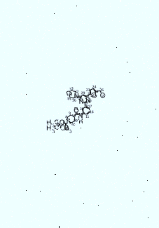 CC(C)(C)OC(=O)N1CCC(C(=O)Nc2cccc(-c3nc(-c4ccc(C=O)o4)cc(N4CCOCC4)n3)c2)CC1